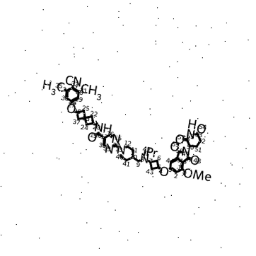 COc1cc(OC2CC(N(CC3CCN(c4ncc(C(=O)NC5CC6(C5)CC(Oc5cc(C)c(C#N)c(C)c5)C6)cn4)CC3)C(C)C)C2)cc2c1C(=O)N([C@@H]1CCC(=O)NC1=O)C2=O